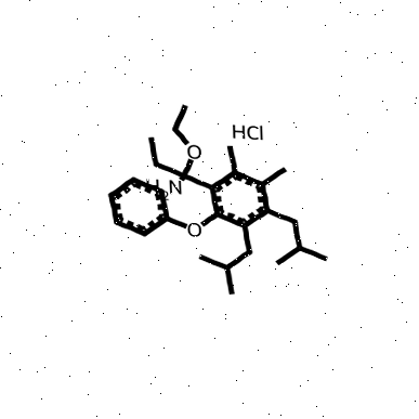 CCOC(N)(CC)c1c(C)c(C)c(CC(C)C)c(CC(C)C)c1Oc1ccccc1.Cl